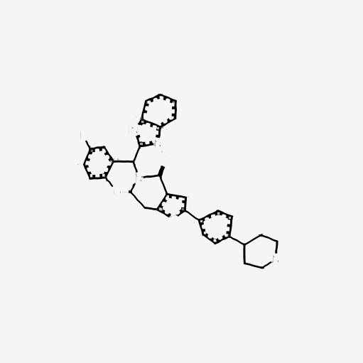 O=C1c2cc(-c3ccc(C4CCNCC4)cc3)sc2CCN1C(c1nc2ccccc2[nH]1)c1cc(F)ccc1O